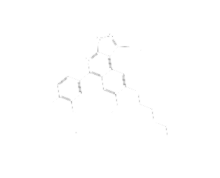 CCOCCOc1cc2c(cc1OC)c(-c1ccc(O)c(Cl)c1)nc1[nH]nc(C)c12.Cl